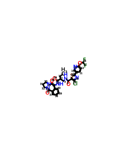 CCC(CNC(=O)c1sc(-c2ccc(OC(F)F)nc2)nc1Cl)C(=O)N[C@@H]1C(=O)N2CCCN2C(=O)c2ccccc21